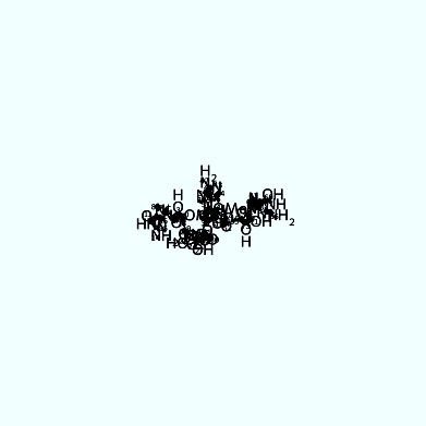 COC1C(O)[C@@H](n2c[n+](C)c3c(=O)[nH]c(N)nc32)O[C@H]1COP(=O)(O)OP(=O)(O)OP(=O)(O)OC[C@H]1O[C@@H](n2cnc3c(N)ncnc32)[C@@H](OC)[C@H]1OP(=O)(O)OC[C@H]1O[C@@H](n2cnc3c2N=C(N)NC3O)[C@@H](O)[C@H]1O